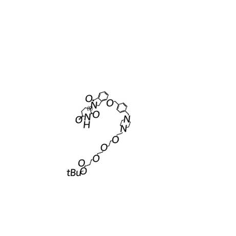 CC(C)(C)OC(=O)CCOCCOCCOCCN1CCN(Cc2ccc(COc3cccc4c3CN([C@H]3CCC(=O)NC3=O)C4=O)cc2)CC1